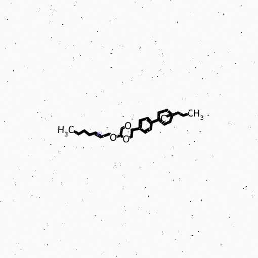 CCCC/C=C/COC1COC(c2ccc(C34CCC(CCC)(CC3)CC4)cc2)CO1